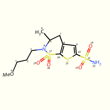 COCCCN1C(C)Cc2cc(S(N)(=O)=O)sc2S1(=O)=O